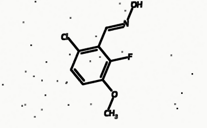 COc1ccc(Cl)c(/C=N/O)c1F